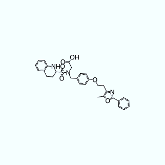 Cc1oc(-c2ccccc2)nc1CCOc1ccc(CN(CC(=O)O)S(=O)(=O)C2CCc3ccccc3N2)cc1